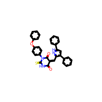 O=C1NC(=S)N(c2ccc(Oc3ccccc3)cc2)C(=O)/C1=C\c1[nH]c(-c2ccccc2)cc1-c1ccccc1